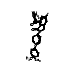 CC1(C)CCC(N2CCC(N3Cc4cc(F)cc(C(N)=O)c4C3=O)CC2)CC1